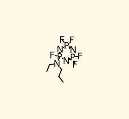 CCCN(CC)P1(F)=NP(F)(F)=NP(F)(F)=N1